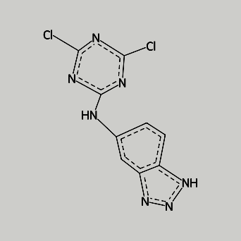 Clc1nc(Cl)nc(Nc2ccc3[nH]nnc3c2)n1